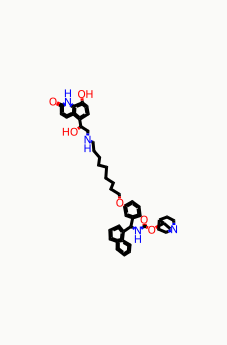 O=C(NC(c1cccc(OCCCCCCCCCNCC(O)c2ccc(O)c3[nH]c(=O)ccc23)c1)c1cccc2ccccc12)OC1CN2CCC1CC2